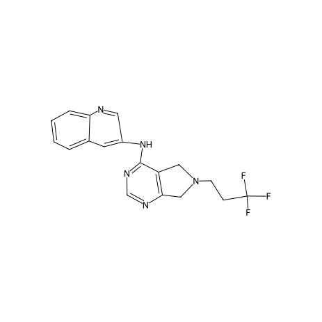 FC(F)(F)CCN1Cc2ncnc(Nc3cnc4ccccc4c3)c2C1